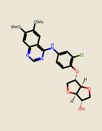 COc1cc2ncnc(Nc3ccc(O[C@H]4CO[C@H]5[C@@H]4OC[C@@H]5O)c(Cl)c3)c2cc1OC